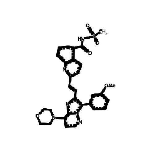 COc1cccc(-c2c(/C=C/c3ccc4c(C(=O)NS(C)(=O)=O)cccc4n3)nc3c(N4CCOCC4)ccnn23)c1